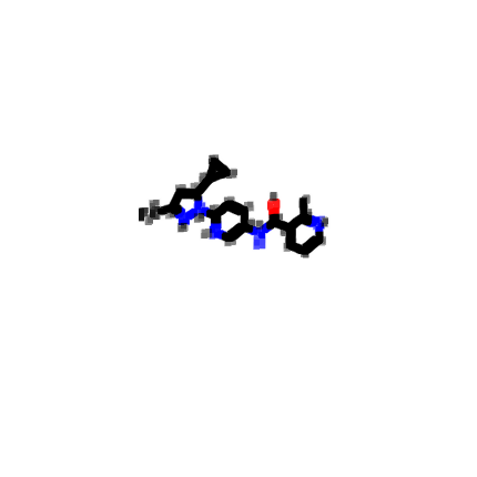 Cc1ncccc1C(=O)Nc1ccc(-n2nc(C(F)(F)F)cc2C2CC2)nc1